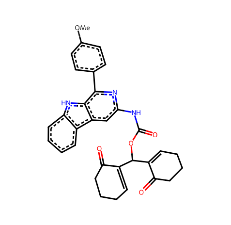 COc1ccc(-c2nc(NC(=O)OC(C3=CCCCC3=O)C3=CCCCC3=O)cc3c2[nH]c2ccccc23)cc1